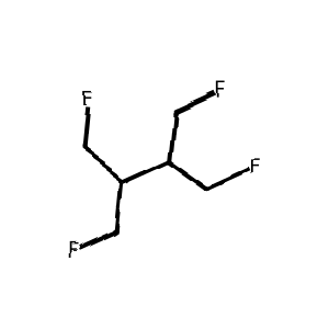 FC[C](CF)C(CF)CF